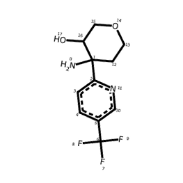 NC1(c2ccc(C(F)(F)F)cn2)CCOCC1O